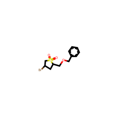 O=S1(=O)CC(Br)CC1COCc1ccccc1